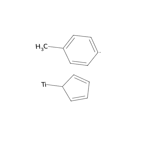 Cc1cc[c]cc1.[Ti][CH]1C=CC=C1